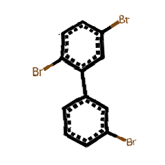 Brc1cccc(-c2cc(Br)c[c]c2Br)c1